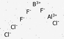 [Al+3].[B+3].[Cl-].[Cl-].[Cl-].[F-].[F-].[F-]